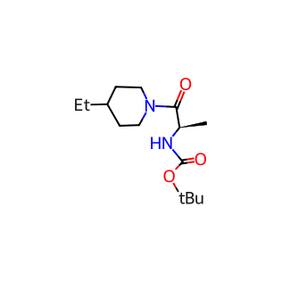 CCC1CCN(C(=O)[C@@H](C)NC(=O)OC(C)(C)C)CC1